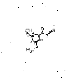 COc1cc(OC)cc(C(=O)CC#N)c1